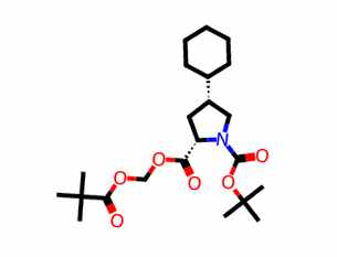 CC(C)(C)OC(=O)N1C[C@@H](C2CCCCC2)C[C@H]1C(=O)OCOC(=O)C(C)(C)C